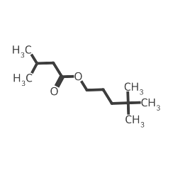 CC(C)CC(=O)OCCCC(C)(C)C